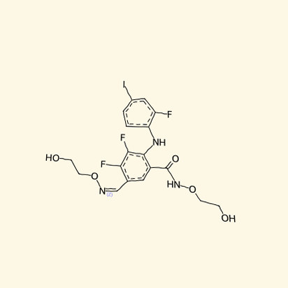 O=C(NOCCO)c1cc(/C=N\OCCO)c(F)c(F)c1Nc1ccc(I)cc1F